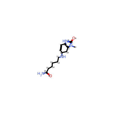 Cn1c2c([nH]c1=O)C=CC(NCCCCCC(N)=O)C2